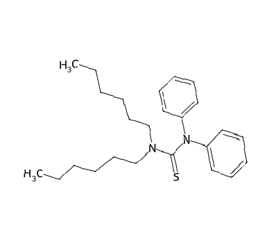 CCCCCCN(CCCCCC)C(=S)N(c1ccccc1)c1ccccc1